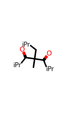 CC(C)CC(C)(C(=O)C(C)C)C(=O)C(C)C